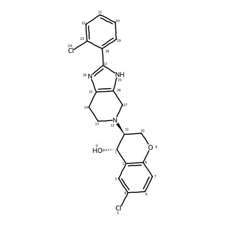 O[C@H]1c2cc(Cl)ccc2OC[C@@H]1N1CCc2nc(-c3ccccc3Cl)[nH]c2C1